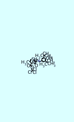 CC1=CS[C@@H]2[C@H](/N=C/c3cc(C(C)(C)C)c(O)c(C(C)(C)C)c3)C(=O)N2C1C(=O)OCC(Cl)(Cl)Cl